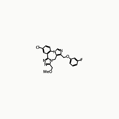 COCc1nnc2n1Cc1c(COc3cccc(F)c3)ncn1-c1ccc(Cl)cc1-2